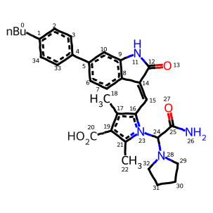 CCCCc1ccc(-c2ccc3c(c2)NC(=O)C3=Cc2c(C)c(C(=O)O)c(C)n2C(C(N)=O)N2CCCC2)cc1